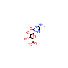 Nc1cnn([C@@H]2O[C@H](C(=O)O)[C@@H](O)[C@H]2O)c(=O)n1